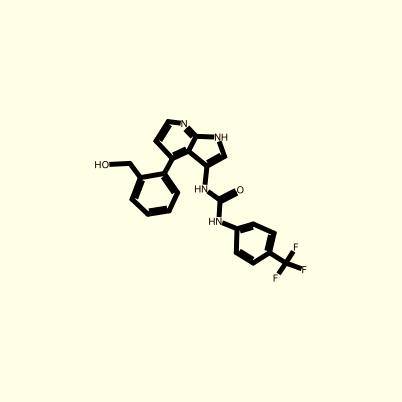 O=C(Nc1ccc(C(F)(F)F)cc1)Nc1c[nH]c2nccc(-c3ccccc3CO)c12